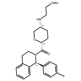 COCCN[C@@H]1CC[C@H](C(=O)N2CCc3ccccc3[C@@H]2c2ccc(F)cc2)OC1